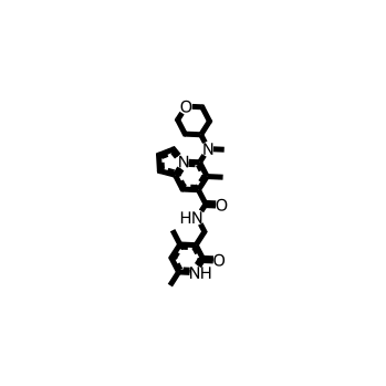 Cc1cc(C)c(CNC(=O)c2cc3cccn3c(N(C)C3CCOCC3)c2C)c(=O)[nH]1